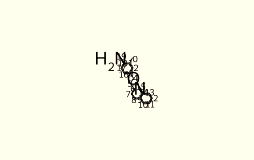 Cc1cc(OCc2ccc3ccccc3n2)ccc1N